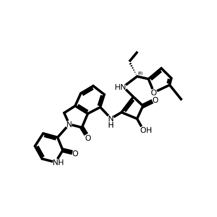 CC[C@@H](NC1=C(Nc2cccc3c2C(=O)N(c2ccc[nH]c2=O)C3)C(O)C1=O)c1ccc(C)o1